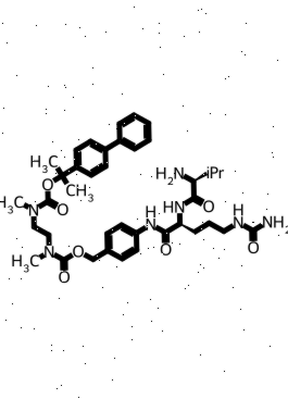 CC(C)[C@H](N)C(=O)N[C@@H](CCCNC(N)=O)C(=O)Nc1ccc(COC(=O)N(C)CCN(C)C(=O)OC(C)(C)c2ccc(-c3ccccc3)cc2)cc1